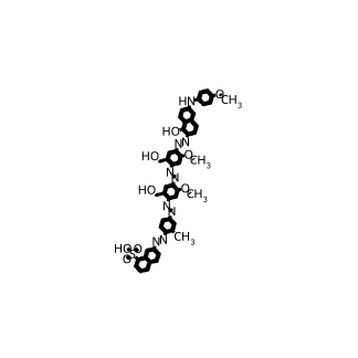 COc1ccc(Nc2ccc3c(O)c(N=Nc4cc(CO)c(N=Nc5cc(CO)c(N=Nc6ccc(N=Nc7ccc8cccc(S(=O)(=O)O)c8c7)c(C)c6)cc5OC)cc4OC)ccc3c2)cc1